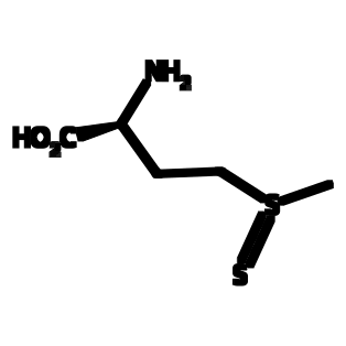 CS(=S)CC[C@H](N)C(=O)O